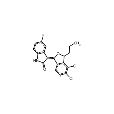 CCCC1OC(=C2C(=O)Nc3ccc(F)cc32)c2cnc(Cl)c(Cl)c21